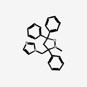 CN1OC(c2ccccc2)(c2ccccc2)CC1(Cn1ccnc1)c1ccccc1